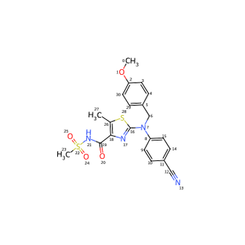 COc1ccc(CN(c2ccc(C#N)cc2)c2nc(C(=O)NS(C)(=O)=O)c(C)s2)cc1